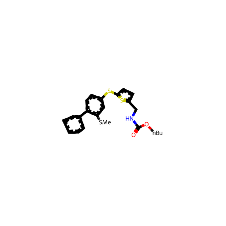 CCCCOC(=O)NCc1ccc(Sc2ccc(-c3ccccc3)c(SC)c2)s1